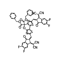 N#CC(C#N)=C1/C(=C/c2nc3c(s2)-c2sc(/C=C4\C(=O)c5cc(F)c(F)cc5C4=C(C#N)C#N)nc2C(C(=O)OCc2ccccc2)(C(=O)OCc2ccccc2)O3)C(=O)c2cc(F)c(F)cc21